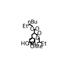 CCCCC(CC)COC(=O)C(Cc1ccc(OC)c(O)c1)C(=O)OCC(CC)CCCC